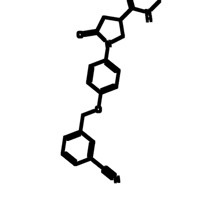 CNC(=O)C1CC(=O)N(c2ccc(OCc3cccc(C#N)c3)cc2)C1